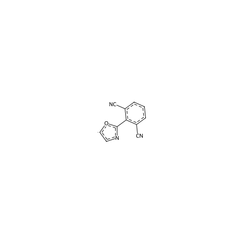 N#Cc1cccc(C#N)c1-c1nc[c]o1